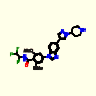 COc1cc(-n2cnc3cc(-c4cnn(C5CCNCC5)c4)ccc32)cc(OC)c1C(=O)NC(F)C(F)F